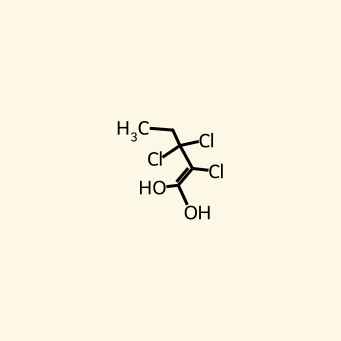 CCC(Cl)(Cl)C(Cl)=C(O)O